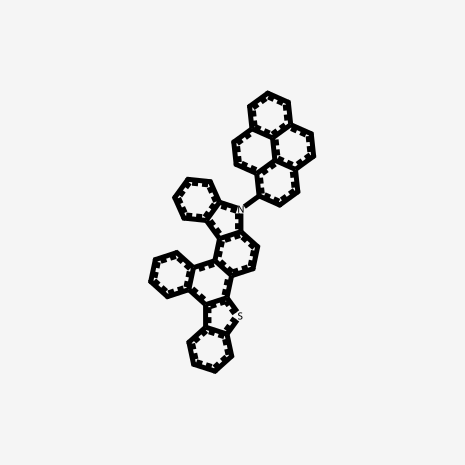 c1cc2ccc3ccc(-n4c5ccccc5c5c6c7ccccc7c7c8ccccc8sc7c6ccc54)c4ccc(c1)c2c34